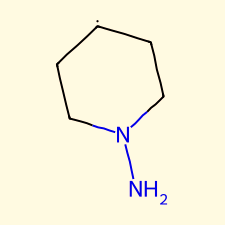 NN1CC[CH]CC1